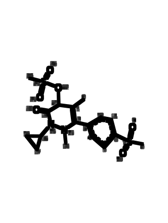 CC1=C(c2ccc(S(C)(=O)=O)cc2)N(C)N(C2CC2)C(=O)C1OS(C)(=O)=O